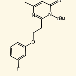 Cc1cc(=O)n(C(C)(C)C)c(CCOc2cccc(F)c2)n1